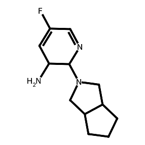 NC1C=C(F)C=NC1N1CC2CCCC2C1